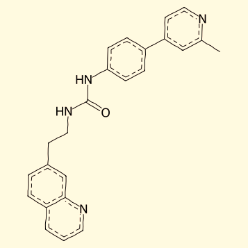 Cc1cc(-c2ccc(NC(=O)NCCc3ccc4cccnc4c3)cc2)ccn1